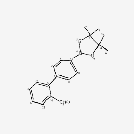 CC1(C)OB(c2ccc(-c3ccccc3C=O)cc2)OC1(C)C